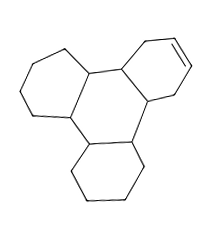 C1=CCC2C(C1)C1CCCCC1C1CCCCC21